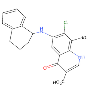 CCc1c(Cl)c(NC2CCCc3ccccc32)cc2c(=O)c(C(=O)O)c[nH]c12